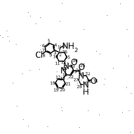 NC[C@]1(c2cccc(Cl)c2)CC[C@H](n2nc(-c3ccccc3)cc(C(=O)N3CCNC(=O)C3)c2=O)CC1